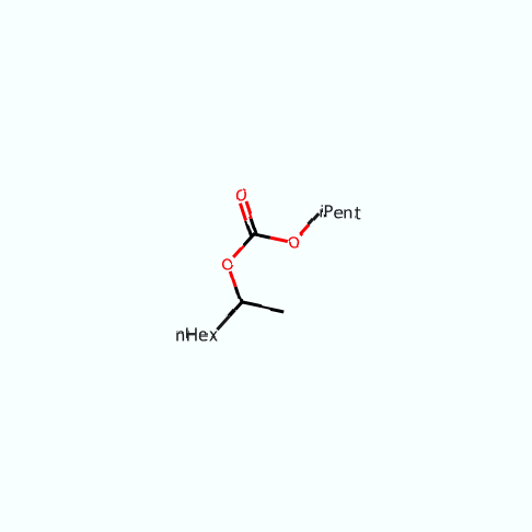 CCCCCCC(C)OC(=O)OC(C)CCC